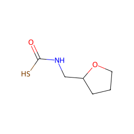 O=C(S)NCC1CCCO1